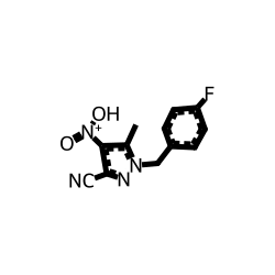 Cc1c([N+](=O)O)c(C#N)nn1Cc1ccc(F)cc1